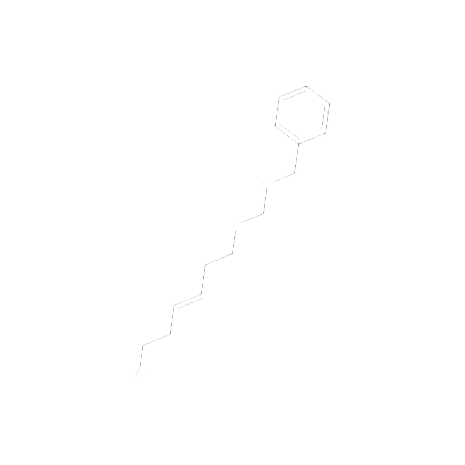 OCCC=CCCOCOCc1ccccc1